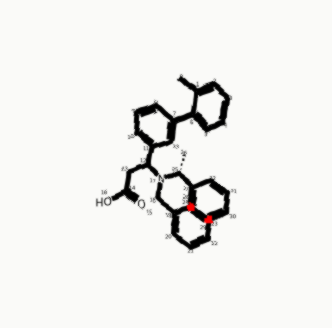 Cc1ccccc1-c1cccc(C(CC(=O)O)N(Cc2ccccc2)[C@H](C)c2ccccc2)c1